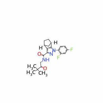 CC(C)(C)C(=O)CNC(=O)c1nn(-c2ccc(F)cc2F)c2c1[C@H]1CC[C@@H]2C1